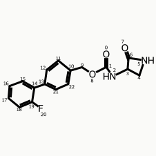 O=C(NC1CNC1=O)OCc1ccc(-c2ccccc2F)cc1